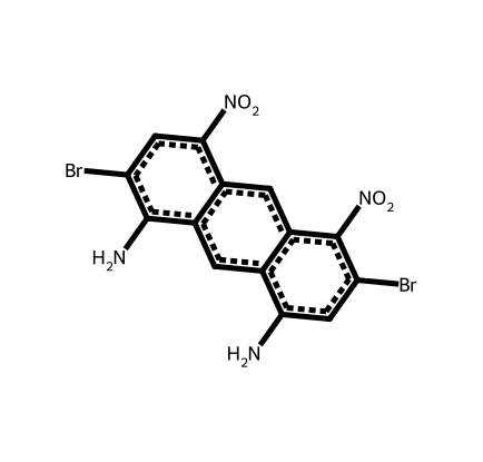 Nc1cc(Br)c([N+](=O)[O-])c2cc3c([N+](=O)[O-])cc(Br)c(N)c3cc12